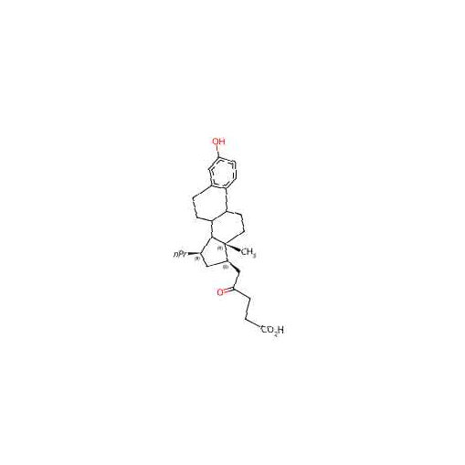 CCC[C@@H]1C[C@H](CC(=O)CCC(=O)O)[C@@]2(C)CCC3c4ccc(O)cc4CCC3C12